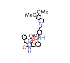 COC(=O)Cn1c(=O)c(=Cc2cccc(C(=O)Nc3ccc(CCN4CCc5cc(OC)c(OC)cc5C4)cc3)c2)[nH]c(=O)c1=Cc1ccccc1